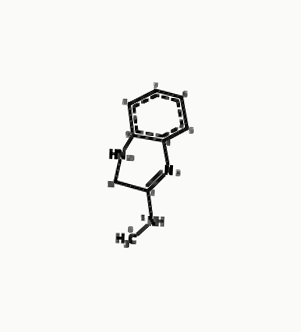 CNC1=Nc2ccccc2NC1